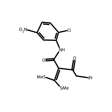 CSC(SC)=C(C(=O)CC(C)C)C(=O)Nc1cc([N+](=O)[O-])ccc1Cl